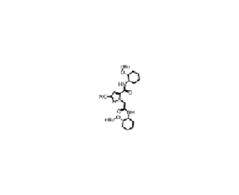 CCCCO[C@H]1CCCC[C@@H]1NC(=O)Cn1nc(C#N)cc1C(=O)N[C@@H]1CCCC[C@H]1OCCCC